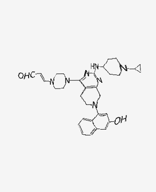 O=CC=CN1CCN(c2nc(NC3CCN(C4CC4)CC3)nc3c2CCN(c2cc(O)cc4ccccc24)C3)CC1